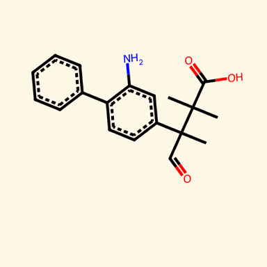 CC(C)(C(=O)O)C(C)(C=O)c1ccc(-c2ccccc2)c(N)c1